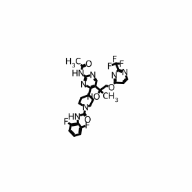 CC(=O)Nc1ncc(C(C)(O)COc2ccnc(C(F)(F)F)n2)c(C2CCN(C(=O)Nc3c(F)cccc3F)CC2)n1